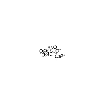 O=C([O-])[O-].O=C([O-])[O-].[Ca+2].[Ca+2]